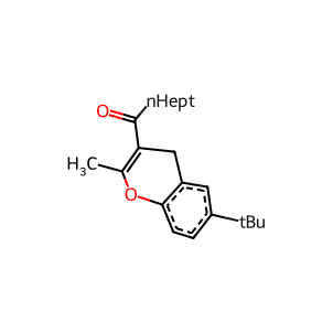 CCCCCCCC(=O)C1=C(C)Oc2ccc(C(C)(C)C)cc2C1